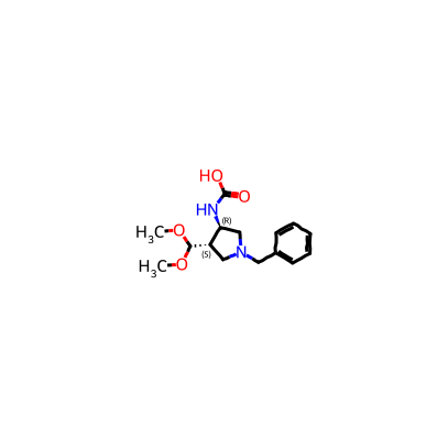 COC(OC)[C@H]1CN(Cc2ccccc2)C[C@@H]1NC(=O)O